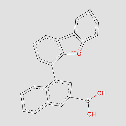 OB(O)c1cc(-c2cccc3c2oc2ccccc23)c2ccccc2c1